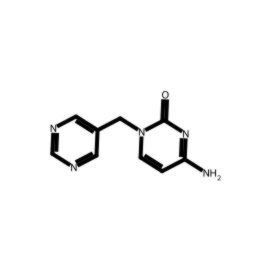 Nc1ccn(Cc2cncnc2)c(=O)n1